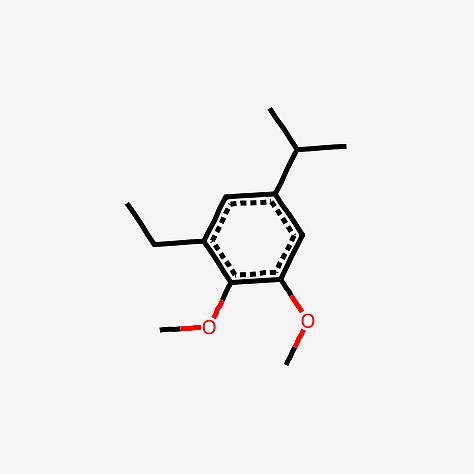 CCc1cc(C(C)C)cc(OC)c1OC